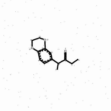 CCC(=O)C(C)c1ccc2c(c1)OCCO2